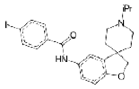 CC(C)N1CCC2(CC1)COc1ccc(NC(=O)c3ccc(I)cc3)cc12